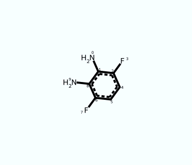 Nc1c(F)ccc(F)c1N